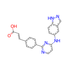 O=C(O)C=Cc1ccc(-c2nccc(Nc3ccc4[nH]ncc4c3)n2)cc1